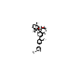 Cc1cc(-c2cnn(C)c2)ccc1-c1cc2c(nn1)N([C@@H]1C[C@H]3CC[C@@H](C1)N3C(=O)OC(C)(C)C)CCCO2